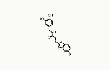 O=C(CSc1nc2cc(F)ccc2o1)NCc1ccc(O)c(O)c1